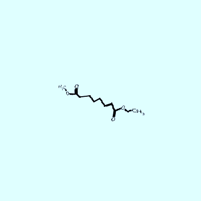 CCOC(=O)CCCCCCC(=O)OC